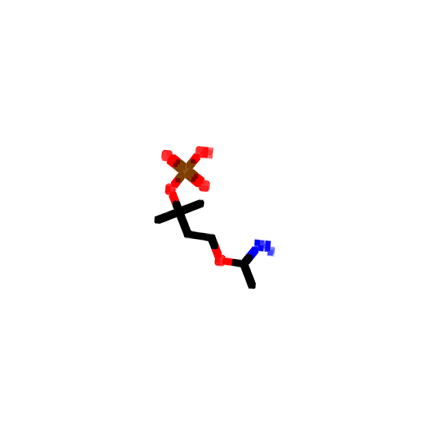 CC(N)OCCC(C)(C)OS(=O)(=O)O